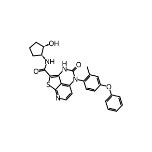 Cc1cc(Oc2ccccc2)ccc1N1C(=O)Nc2c(C(=O)N[C@H]3CCC[C@H]3O)sc3nccc1c23